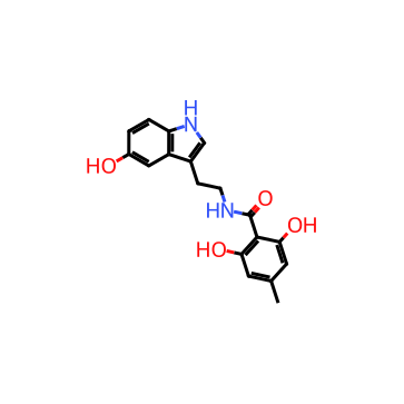 Cc1cc(O)c(C(=O)NCCc2c[nH]c3ccc(O)cc23)c(O)c1